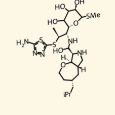 CSC1O[C@H]([C@H](NC(O)[C@H]2NC[C@@H]3C[C@H](CC(C)C)CCO[C@H]32)[C@H](C)Sc2nnc(N)s2)C(O)C(O)[C@H]1O